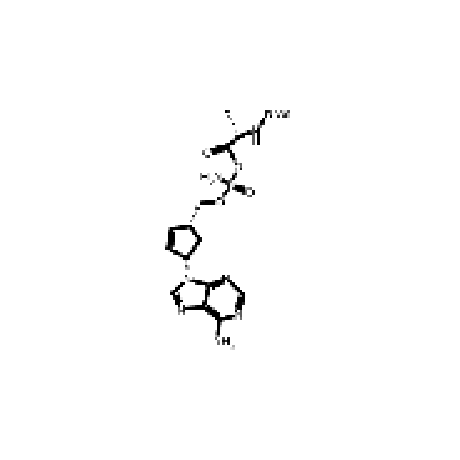 CNN[C@@H](C)C(=O)OP(N)(=O)OC[C@H]1C=C[C@@H](n2cnc3c(N)ncnc32)C1